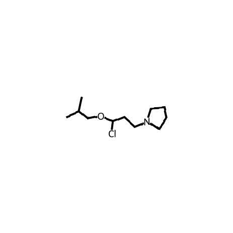 CC(C)COC(Cl)CCN1CCCC1